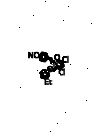 CCc1cccc(OCc2c(Cl)cc(Cl)c(=O)n2CCc2ccc(C#N)cc2)c1